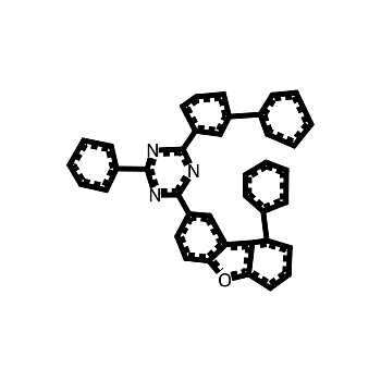 c1ccc(-c2cccc(-c3nc(-c4ccccc4)nc(-c4ccc5oc6cccc(-c7ccccc7)c6c5c4)n3)c2)cc1